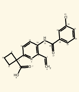 C=Cc1nc(C2(C(=O)O)CCC2)ccc1NC(=O)c1cccc(Cl)c1